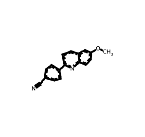 COc1ccc2nc(-c3ccc(C#N)cc3)ccc2c1